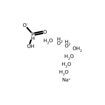 O.O.O.O.O.O.O.O=[PH]([O-])O.[Na+]